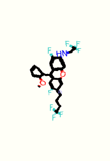 COc1ccccc1C1=c2cc(F)/c(=C\CCC(F)(F)F)cc2Oc2cc(NCC(F)(F)F)c(F)cc21